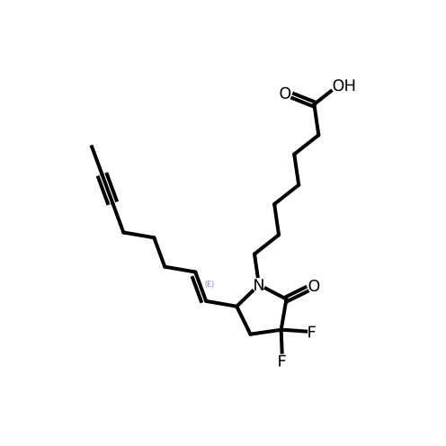 CC#CCCC/C=C/C1CC(F)(F)C(=O)N1CCCCCCC(=O)O